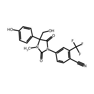 CN1C(=O)N(c2ccc(C#N)c(C(F)(F)F)c2)C(=O)C1(CO)c1ccc(O)cc1